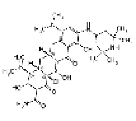 CN(C)c1cc(NC2CC(C)(C)NC(C)(C)C2)c(O)c2c1C[C@H]1C[C@H]3[C@H](N(C)C)C(O)C(C(N)=O)C(=O)[C@@]3(O)C(O)=C1C2=O